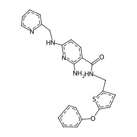 Nc1nc(NCc2ccccn2)ccc1C(=O)NCc1ccc(Oc2ccccc2)s1